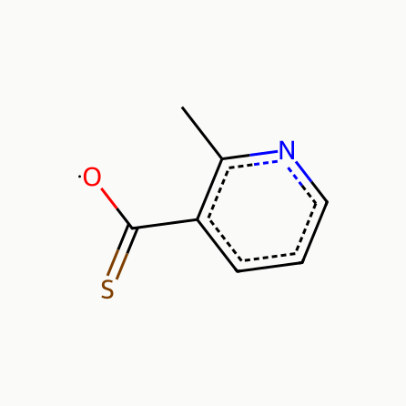 Cc1ncccc1C([O])=S